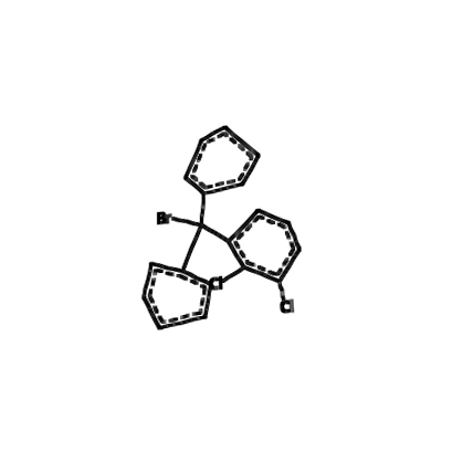 Clc1cccc(C(Br)(c2ccccc2)c2ccccc2)c1Cl